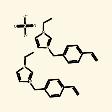 C=Cc1ccc(C[n+]2ccn(CC)c2)cc1.C=Cc1ccc(C[n+]2ccn(CC)c2)cc1.O=S(=O)([O-])[O-]